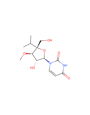 CO[C@@H]1[C@@H](O)[C@H](n2ccc(=O)[nH]c2=O)O[C@@]1(CO)C(C)C